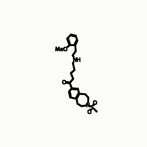 COc1ccccc1CCNCCCCC(=O)c1ccc2c(c1)CCN(S(C)(=O)=O)CC2